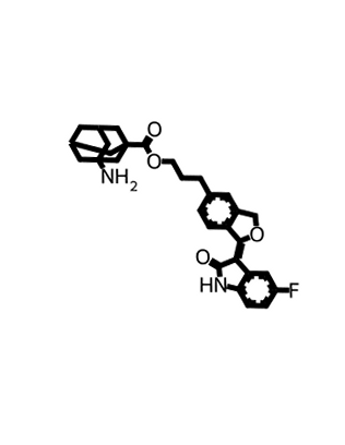 NC12CC3CC(C1)CC(C(=O)OCCCc1ccc4c(c1)COC4=C1C(=O)Nc4ccc(F)cc41)(C3)C2